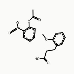 CC(=O)Oc1ccccc1[N+](=O)[O-].COc1ccccc1CCC(=O)O